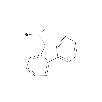 CC(Br)C1c2ccccc2-c2ccccc21